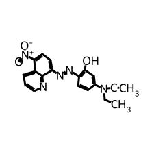 CCN(CC)c1ccc(/N=N/c2ccc([N+](=O)[O-])c3cccnc23)c(O)c1